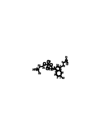 Cc1ccc2c(c1)c(CCN(C)C)cn2COP(=O)(O)OCCN(C)C